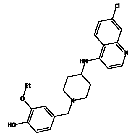 CCOc1cc(CN2CCC(Nc3ccnc4cc(Cl)ccc34)CC2)ccc1O